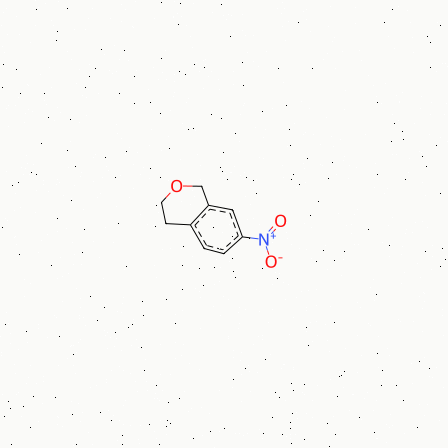 O=[N+]([O-])c1ccc2c(c1)COCC2